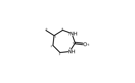 CC1CCNC(=O)NC1